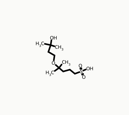 CC(C)(O)CCOC(C)(C)CCCS(=O)(=O)O